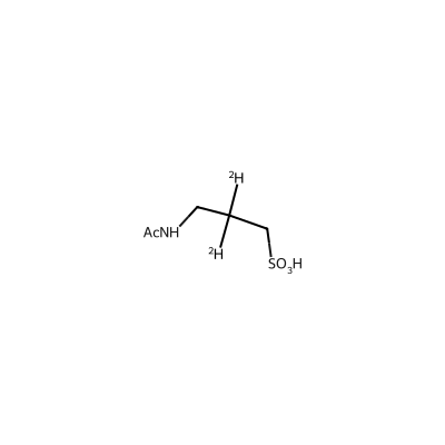 [2H]C([2H])(CNC(C)=O)CS(=O)(=O)O